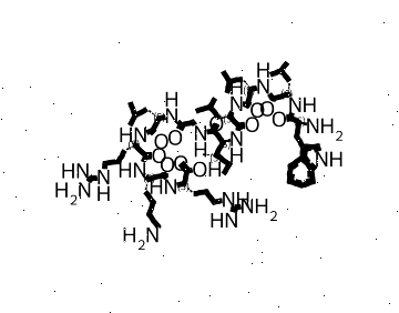 CC[C@H](C)[C@H](NC(=O)[C@H](CC(C)C)NC(=O)[C@H](CC(C)C)NC(=O)[C@H](CC(C)C)NC(=O)[C@@H](N)Cc1c[nH]c2ccccc12)C(=O)NCC(=O)N[C@@H](CC(C)C)C(=O)N[C@@H](CCCNC(=N)N)C(=O)N[C@@H](CCCCN)C(=O)N[C@@H](CCCNC(=N)N)C(=O)O